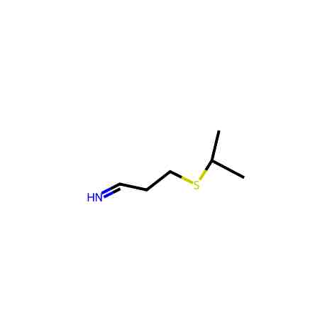 CC(C)SCCC=N